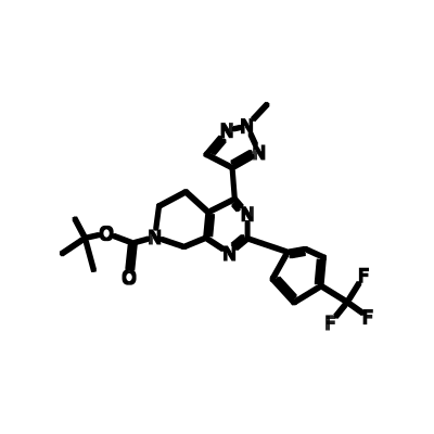 Cn1ncc(-c2nc(-c3ccc(C(F)(F)F)cc3)nc3c2CCN(C(=O)OC(C)(C)C)C3)n1